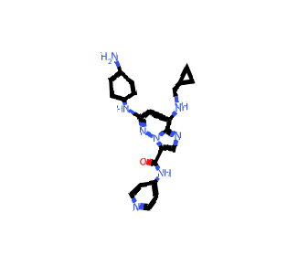 NC1CCC(Nc2cc(NCC3CC3)c3ncc(C(=O)Nc4ccncc4)n3n2)CC1